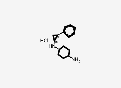 Cl.N[C@H]1CC[C@@H](N[C@@H]2C[C@H]2c2ccccc2)CC1